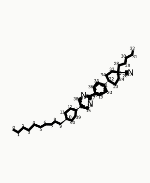 CCCCCCCCCC[C@H]1CC[C@H](c2cnc(-c3ccc([C@H]4CC[C@@](C#N)(CCCCC)CC4)cc3)nc2)CC1